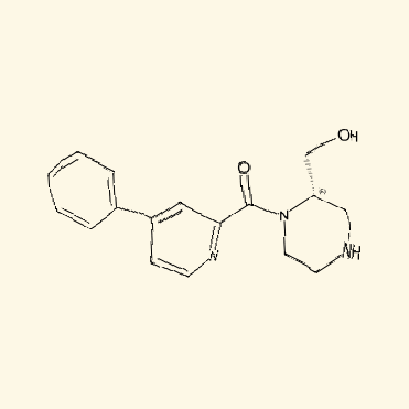 O=C(c1cc(-c2ccccc2)ccn1)N1CCNC[C@H]1CO